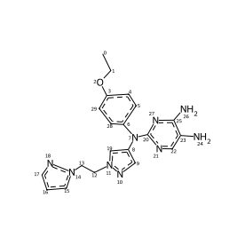 CCOc1ccc(N(c2cnn(CCn3cccn3)c2)c2ncc(N)c(N)n2)cc1